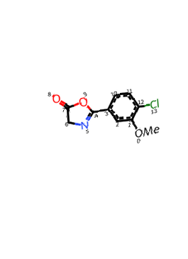 COc1cc(C2=NCC(=O)O2)ccc1Cl